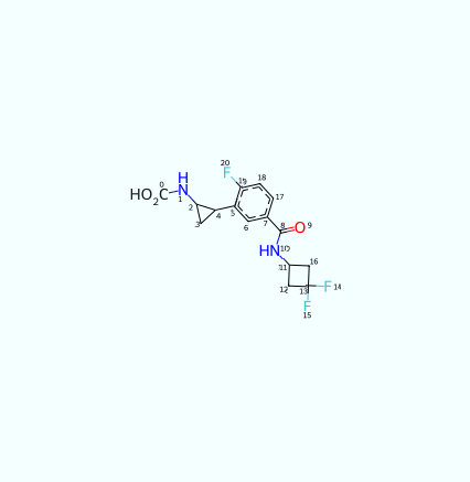 O=C(O)NC1CC1c1cc(C(=O)NC2CC(F)(F)C2)ccc1F